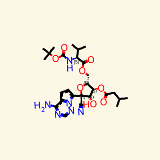 CC(C)CC(=O)O[C@H]1[C@@H](O)[C@](C#N)(c2ccc3c(N)ncnn23)O[C@@H]1COC(=O)[C@@H](NC(=O)OC(C)(C)C)C(C)C